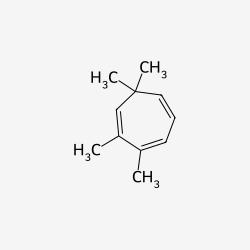 CC1=CC=CC(C)(C)C=C1C